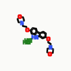 Cl.Cl.c1cc2c(cc1OCCN1CCOCC1)[nH]c1cc(OCCN3CCOCC3)ccc12